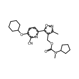 Cc1noc(-c2ccc(OC3CCCCC3)c(C#N)n2)c1COC(=O)N(C)C1CCCC1